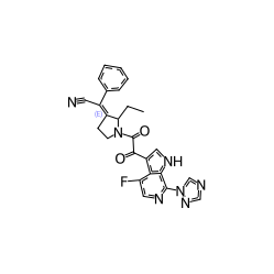 CCC1/C(=C(/C#N)c2ccccc2)CCN1C(=O)C(=O)c1c[nH]c2c(-n3cncn3)ncc(F)c12